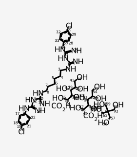 N=C(NCCCCCCNC(=N)NC(=N)Nc1ccc(Cl)cc1)NC(=N)Nc1ccc(Cl)cc1.O=C(O)[C@H](O)[C@@H](O)[C@H](O)[C@H](O)CO.O=C(O)[C@H](O)[C@@H](O)[C@H](O)[C@H](O)CO.OCC(CO)(CO)CO